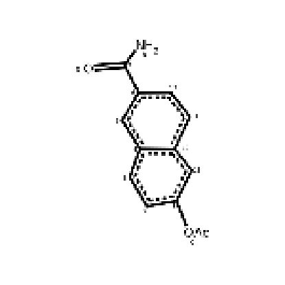 CC(=O)Oc1ccc2cc(C(N)=O)ccc2c1